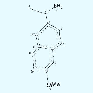 BC(C)c1ccc2cc(OC)ccc2c1